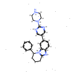 c1ccc(C2CCCc3nc4ccc(-c5cnc(N6CCNCC6)nc5)cc4n32)cc1